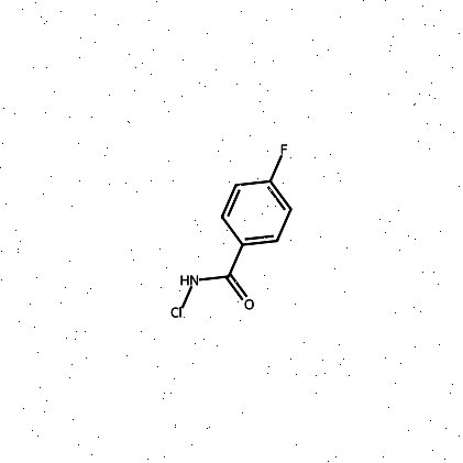 O=C(NCl)c1ccc(F)cc1